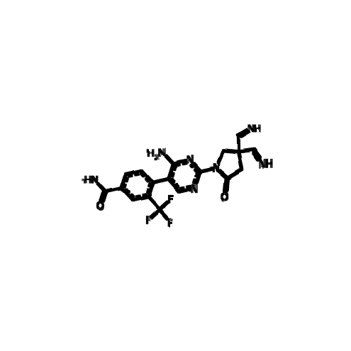 [NH]C(=O)c1ccc(-c2cnc(N3CC(C=N)(C=N)CC3=O)nc2N)c(C(F)(F)F)c1